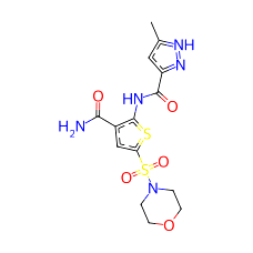 Cc1cc(C(=O)Nc2sc(S(=O)(=O)N3CCOCC3)cc2C(N)=O)n[nH]1